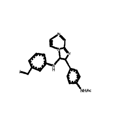 CC(=O)Nc1ccc(C2N=C3C=NC=CN3C2Nc2cccc(CI)c2)cc1